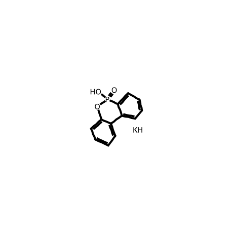 O=P1(O)Oc2ccccc2-c2ccccc21.[KH]